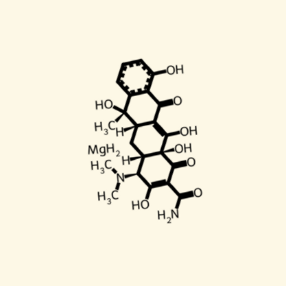 CN(C)[C@@H]1C(O)=C(C(N)=O)C(=O)[C@@]2(O)C(O)=C3C(=O)c4c(O)cccc4[C@@](C)(O)[C@H]3C[C@@H]12.[MgH2]